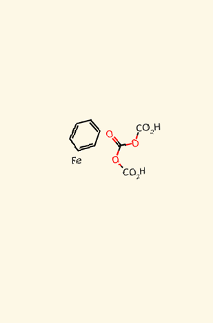 O=C(O)OC(=O)OC(=O)O.[Fe].c1ccccc1